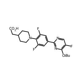 CC(C)COc1nc(-c2cc(F)c(N3CCC(CC(=O)O)CC3)c(F)c2)ncc1F